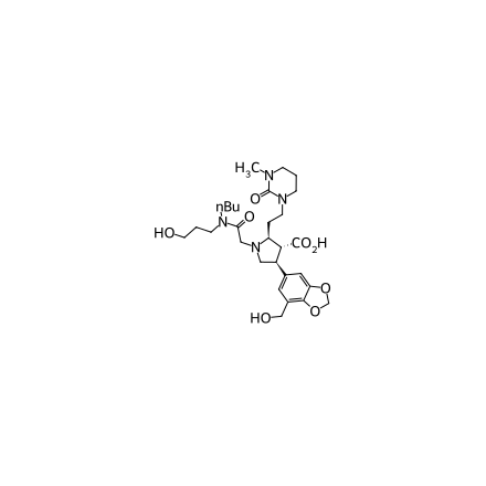 CCCCN(CCCO)C(=O)CN1C[C@H](c2cc(CO)c3c(c2)OCO3)[C@@H](C(=O)O)[C@@H]1CCN1CCCN(C)C1=O